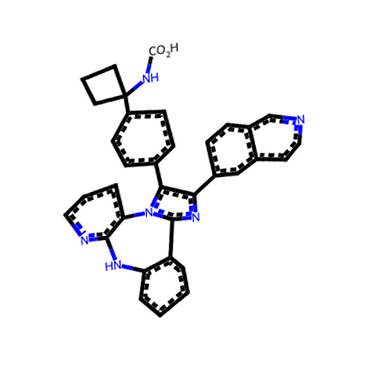 O=C(O)NC1(c2ccc(-c3c(-c4ccc5cnccc5c4)nc4n3-c3cccnc3Nc3ccccc3-4)cc2)CCC1